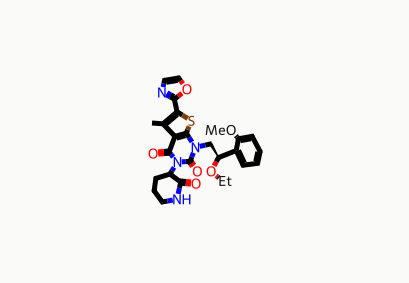 CCO[C@@H](Cn1c(=O)n(C2CCCNC2=O)c(=O)c2c(C)c(-c3ncco3)sc21)c1ccccc1OC